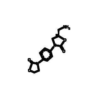 NC[C@@H]1CN(c2ccc(N3CCOC3=O)cc2)C(=O)O1